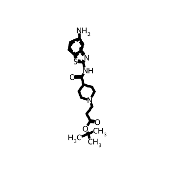 CC(C)(C)OC(=O)CCN1CCC(C(=O)Nc2nc3cc(N)ccc3s2)CC1